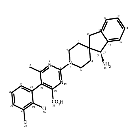 Cc1nc(N2CCC3(CC2)Cc2ccccc2[C@H]3N)nc(C(=O)O)c1-c1cccc(Cl)c1Cl